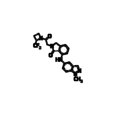 Cn1ncc2cc(Nc3cccc4c3C(=O)N(CC(=O)N3CCC3C(F)(F)F)C4)ccc21